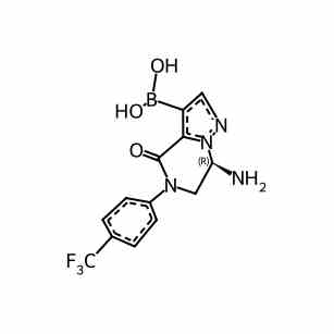 N[C@H]1CN(c2ccc(C(F)(F)F)cc2)C(=O)c2c(B(O)O)cnn21